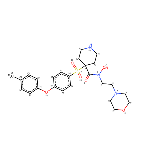 O=C(N(O)CCN1CCOCC1)C1(S(=O)(=O)c2ccc(Oc3ccc(C(F)(F)F)cc3)cc2)CCNCC1